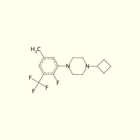 Cc1cc(N2CCN(C3CCC3)CC2)c(F)c(C(F)(F)F)c1